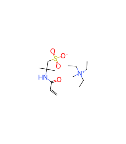 C=CC(=O)NC(C)(C)CS(=O)(=O)[O-].CC[N+](C)(CC)CC